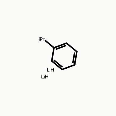 CC(C)c1cc[c]cc1.[LiH].[LiH]